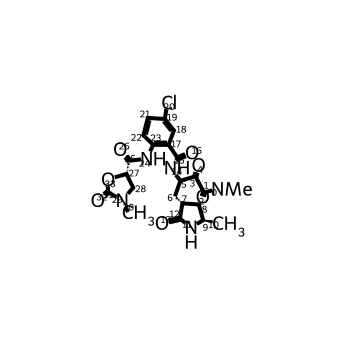 CNC(=O)C(=O)C(C[C@@H]1C[C@@H](C)NC1=O)NC(=O)c1cc(Cl)ccc1NC(=O)[C@@H]1CN(C)C(=O)O1